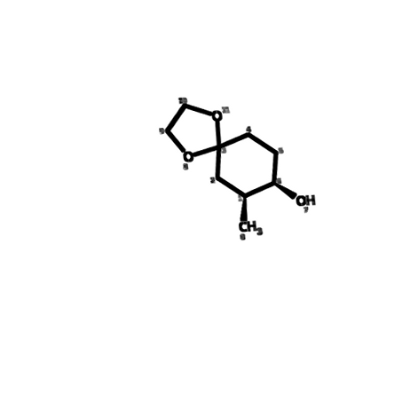 C[C@H]1CC2(CC[C@H]1O)OCCO2